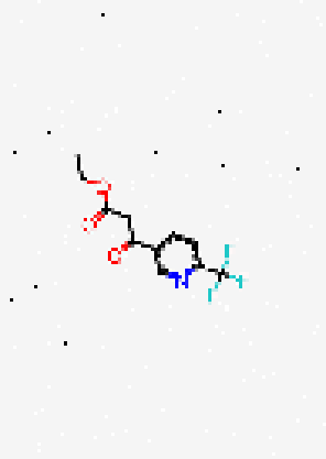 CCOC(=O)CC(=O)c1ccc(C(F)(F)F)nc1